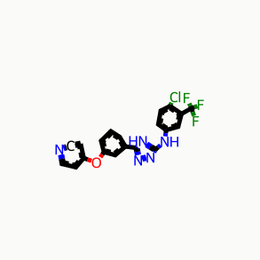 FC(F)(F)c1cc(Nc2nnc(-c3cccc(Oc4ccncc4)c3)[nH]2)ccc1Cl